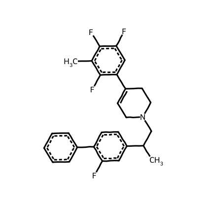 Cc1c(F)c(F)cc(C2=CCN(CC(C)c3ccc(-c4ccccc4)c(F)c3)CC2)c1F